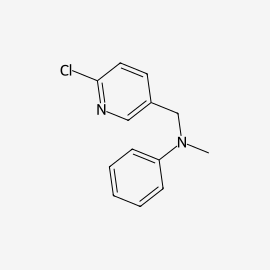 CN(Cc1ccc(Cl)nc1)c1ccccc1